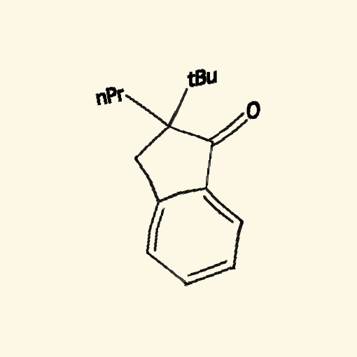 CCCC1(C(C)(C)C)Cc2ccccc2C1=O